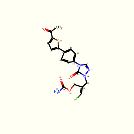 CC(=O)c1ccc(-c2ccc(-n3cnn(C/C(=C/F)COC(N)=O)c3=O)cc2)s1